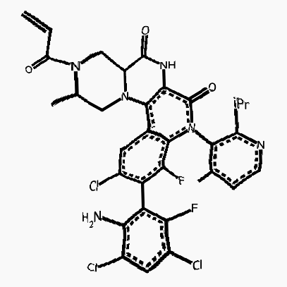 C=CC(=O)N1CC2C(=O)Nc3c(c4cc(Cl)c(-c5c(N)c(Cl)cc(Cl)c5F)c(F)c4n(-c4c(C)ccnc4C(C)C)c3=O)N2CC1C